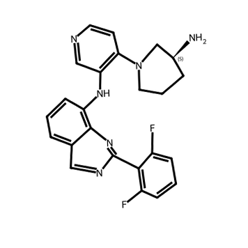 N[C@H]1CCCN(c2ccncc2Nc2cccc3cnc(-c4c(F)cccc4F)nc23)C1